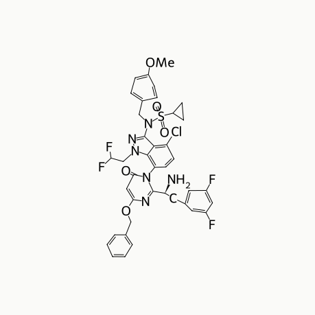 COc1ccc(CN(c2nn(CC(F)F)c3c(-n4c([C@@H](N)Cc5cc(F)cc(F)c5)nc(OCc5ccccc5)cc4=O)ccc(Cl)c23)S(=O)(=O)C2CC2)cc1